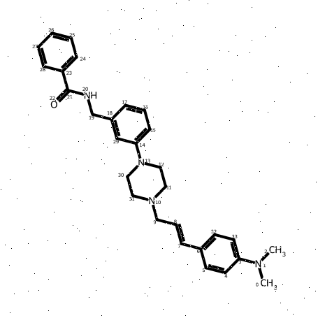 CN(C)c1ccc(C=CCN2CCN(c3cccc(CNC(=O)c4ccccc4)c3)CC2)cc1